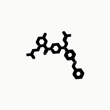 CC(C)=CCN(c1ccc(OCc2ccccc2)cc1)C1CCN(C(=O)C2CC(C)CCN2CCC(C)C)CC1